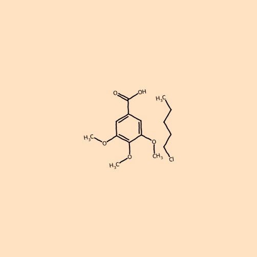 CCCCCCl.COc1cc(C(=O)O)cc(OC)c1OC